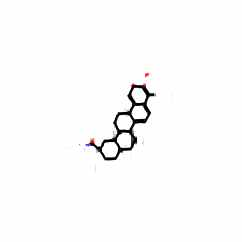 CCCOC1=C(C)C2=CC=C3[C@@](C)(CC[C@@]4(C)[C@@H]5C[C@](C)(C(N)=O)CC[C@]5(C)CC[C@]34C)C2=CC1=O